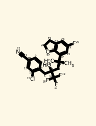 CC(C)(CC(O)(Cc1ccc(C#N)cc1Cl)C(F)(F)F)c1cc(F)cc2c1OCC2